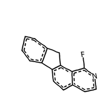 Fc1nccc2ccc3c(c12)Cc1ccccc1-3